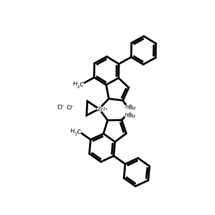 CCCCC1=Cc2c(-c3ccccc3)ccc(C)c2[CH]1[Zr+2]1([CH]2C(CCCC)=Cc3c(-c4ccccc4)ccc(C)c32)[CH2][CH2]1.[Cl-].[Cl-]